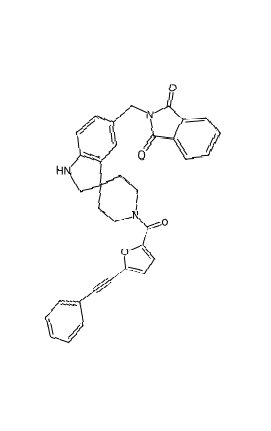 O=C(c1ccc(C#Cc2ccccc2)o1)N1CCC2(CC1)CNc1ccc(CN3C(=O)c4ccccc4C3=O)cc12